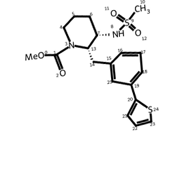 COC(=O)N1CCC[C@H](NS(C)(=O)=O)[C@@H]1Cc1cccc(-c2cccs2)c1